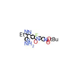 CCc1ncnc(-c2ccc(C(=O)N3CCC4(CCN(C(=O)OC(C)(C)C)CC4)C3)c(F)c2)c1-c1ccc(N)nc1